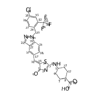 O=C1N=C(NC2CCC(C(=O)O)CC2)S/C1=C\c1ccc2c(cnn2Cc2ccc(Cl)cc2C(F)(F)F)c1